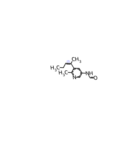 CC/C=C(/C)c1cc(NC=O)cnc1C